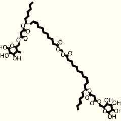 CCCCCC[C@@H](C/C=C\CCCCCCCC(=O)OCOC(=O)CCCCCCC/C=C\C[C@@H](CCCCCC)OC(=O)CC(=O)OCC1OC(O)C(O)C(O)C1C)OC(=O)CC(=O)OCC1OC(O)C(O)C(O)C1O